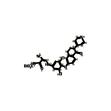 CCOC(=O)NC(=O)C(C#N)=NNc1cc(Cl)c(Oc2ccc3c(c2)CCN(c2ccncc2)C3=O)c(Cl)c1